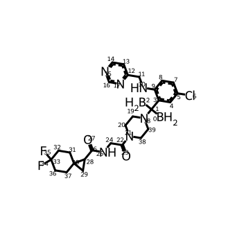 BC(B)(c1cc(Cl)ccc1NCc1ccncn1)N1CCN(C(=O)CNC(=O)C2CC23CCC(F)(F)CC3)CC1